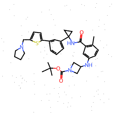 Cc1ccc(NC2CN(C(=O)OC(C)(C)C)C2)cc1C(=O)NC1(c2cccc(-c3ccc(CN4CCCC4)s3)c2)CC1